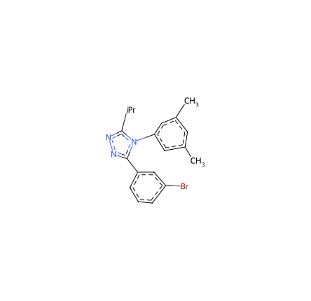 Cc1cc(C)cc(-n2c(-c3cccc(Br)c3)nnc2C(C)C)c1